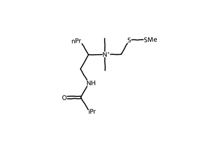 CCCC(CNC(=O)C(C)C)[N+](C)(C)CSSC